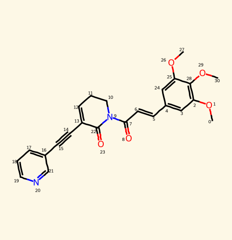 COc1cc(C=CC(=O)N2CCC=C(C#Cc3cccnc3)C2=O)cc(OC)c1OC